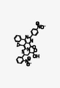 O=C(O)C1CC(c2ccccc2[N+](=O)[O-])Sc2c(C3CC3)c3c(-c4ccccc4)nc(-c4ccc([N+](=O)[O-])cc4)nc3c(=O)n21